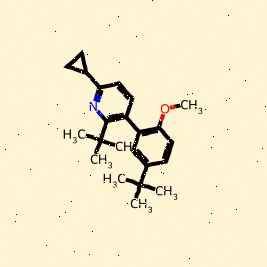 COc1ccc(C(C)(C)C)cc1-c1ccc(C2CC2)nc1C(C)(C)C